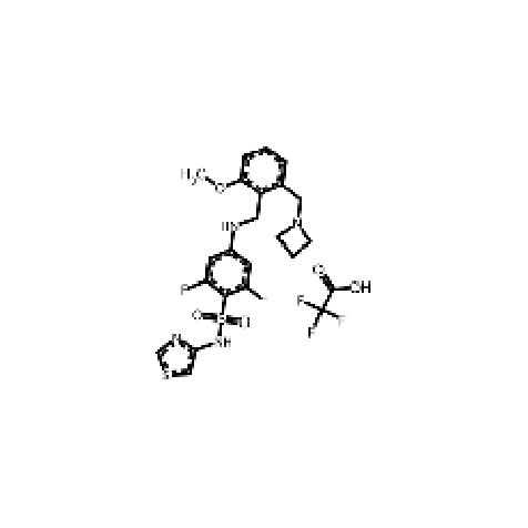 COc1cccc(CN2CCC2)c1CNc1cc(F)c(S(=O)(=O)Nc2cscn2)c(F)c1.O=C(O)C(F)(F)F